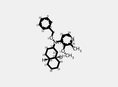 COc1c(N(OCc2ccccc2)C2CC[C@H]3CCCC[C@H]3C2)ccnc1C